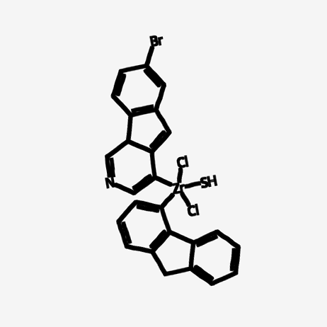 [SH][Zr]([Cl])([Cl])([C]1=CN=CC2C1=Cc1cc(Br)ccc12)[c]1cccc2c1-c1ccccc1C2